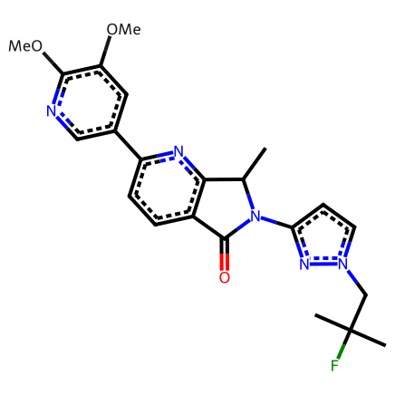 COc1cc(-c2ccc3c(n2)C(C)N(c2ccn(CC(C)(C)F)n2)C3=O)cnc1OC